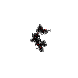 CC[C@@]1(O)C(=O)OCc2c1cc1n(c2=O)Cc2c-1nc1cc(F)c(C)c3c1c2[C@@H](NC(=O)CCCNC(=O)CNC(=O)[C@H](CCc1ccccc1)NC(=O)CNC(=O)CNC(=O)[C@H](CCCCNC(=O)OC(C)(C)C)NC(=O)OCC1c2ccccc2-c2ccccc21)CC3